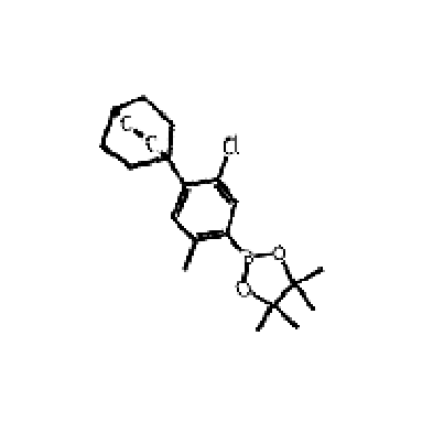 Cc1cc(C23CCC(CC2)CC3)c(Cl)cc1B1OC(C)(C)C(C)(C)O1